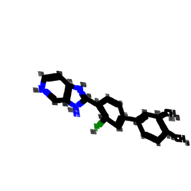 Cc1ccc(-c2ccc(-c3nc4ccncc4[nH]3)c(F)c2)cc1C